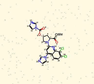 COC(=O)[C@@H]1C[C@@H](OC(=O)n2ccnc2)CN1c1cc(-n2ccnc2)c2ccc(Cl)c(Cl)c2n1